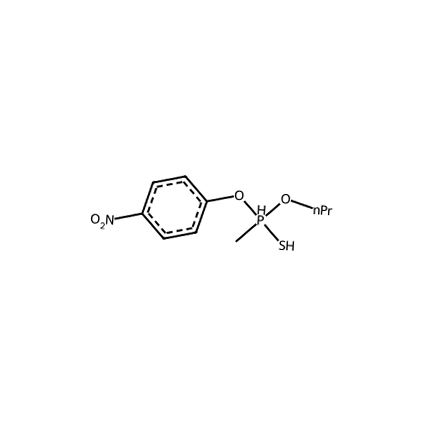 CCCO[PH](C)(S)Oc1ccc([N+](=O)[O-])cc1